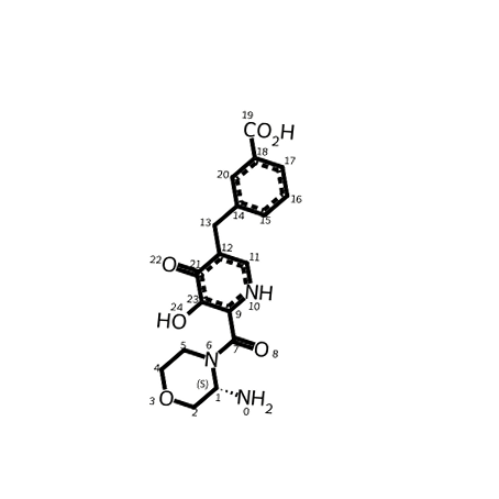 N[C@@H]1COCCN1C(=O)c1[nH]cc(Cc2cccc(C(=O)O)c2)c(=O)c1O